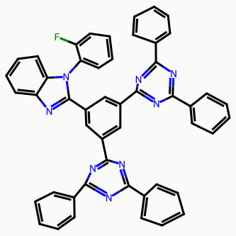 Fc1ccccc1-n1c(-c2cc(-c3nc(-c4ccccc4)nc(-c4ccccc4)n3)cc(-c3nc(-c4ccccc4)nc(-c4ccccc4)n3)c2)nc2ccccc21